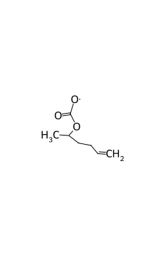 C=CCCC(C)OC([O])=O